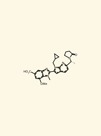 COc1cc(C(=O)O)cc2nc(-c3cc4ccc([C@@H](C)N5CCCC5=O)nc4n3CC3CC3)n(C)c12